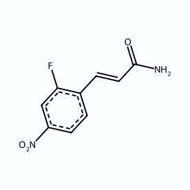 NC(=O)/C=C/c1ccc([N+](=O)[O-])cc1F